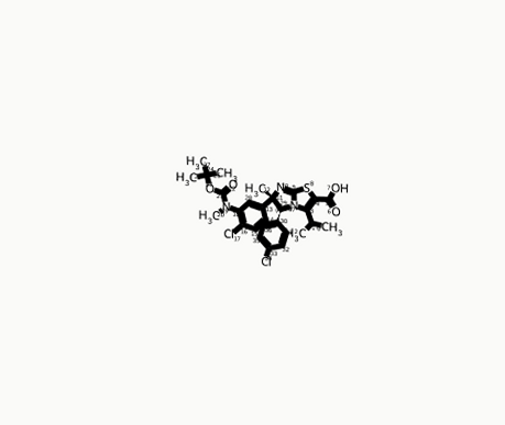 CC(C)C1=C(C(=O)O)SC2=N[C@@](C)(c3ccc(Cl)c(N(C)C(=O)OC(C)(C)C)c3)[C@@H](c3ccc(Cl)cc3)N21